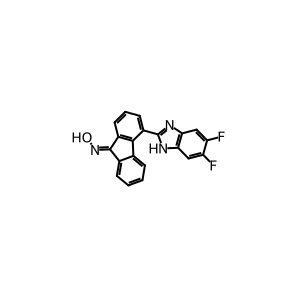 ON=C1c2ccccc2-c2c1cccc2-c1nc2cc(F)c(F)cc2[nH]1